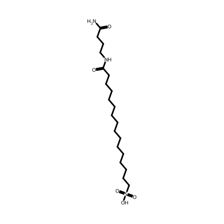 NC(=O)CCCNC(=O)CCCCCCCCCCCCCCCS(=O)(=O)O